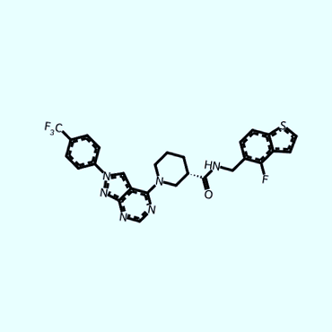 O=C(NCc1ccc2sccc2c1F)[C@H]1CCCN(c2ncnc3nn(-c4ccc(C(F)(F)F)cc4)cc23)C1